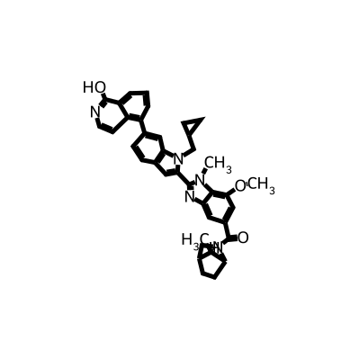 COc1cc(C(=O)N2CC3CCC2[C@@H]3C)cc2nc(-c3cc4ccc(-c5cccc6c(O)nccc56)cc4n3CC3CC3)n(C)c12